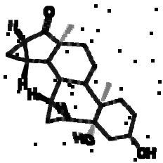 C[C@]12CCC3C(C1[C@@H]1C[C@@H]1C2=O)[C@H]1C[C@H]1[C@]1(O)CC(O)CC[C@]31C